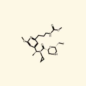 COC(=O)NCCCc1cc([C@H](C)N(C(=O)[C@H]2CNC[C@@H](CF)O2)C2CC2)cc(OC)n1